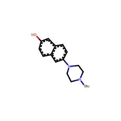 CC(C)(C)N1CCN(c2ccc3cc(O)ccc3c2)CC1